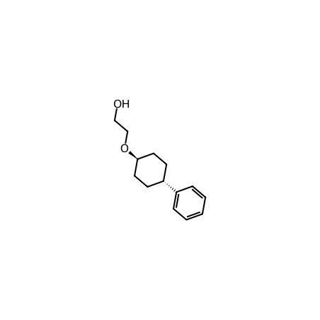 OCCO[C@H]1CC[C@H](c2ccccc2)CC1